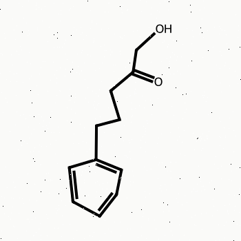 O=C(CO)CCCc1ccccc1